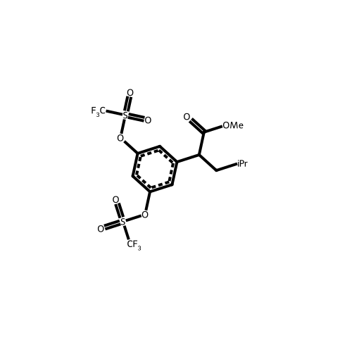 COC(=O)C(CC(C)C)c1cc(OS(=O)(=O)C(F)(F)F)cc(OS(=O)(=O)C(F)(F)F)c1